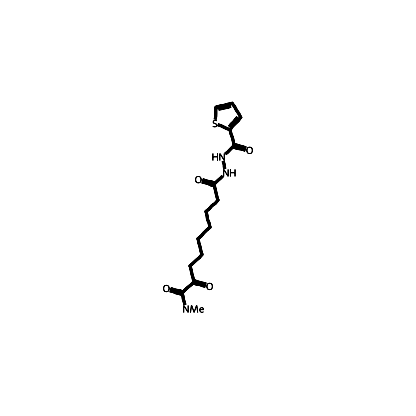 CNC(=O)C(=O)CCCCCCC(=O)NNC(=O)c1cccs1